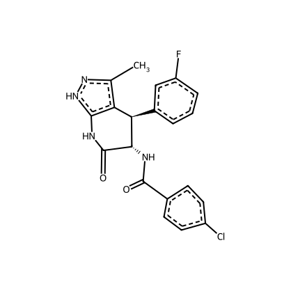 Cc1n[nH]c2c1[C@@H](c1cccc(F)c1)[C@H](NC(=O)c1ccc(Cl)cc1)C(=O)N2